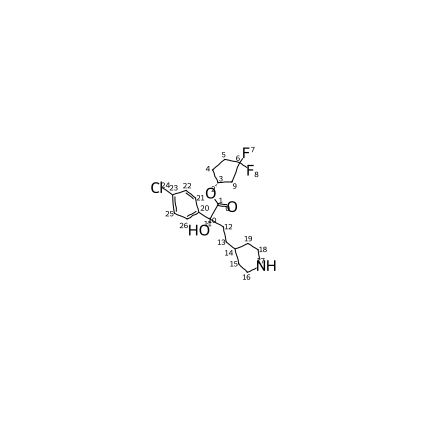 O=C(O[C@@H]1CCC(F)(F)C1)[C@@](O)(CCC1CCNCC1)c1ccc(Cl)cc1